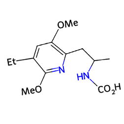 CCc1cc(OC)c(CC(C)NC(=O)O)nc1OC